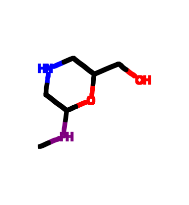 CPC1CNCC(CO)O1